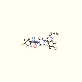 CC(=O)Nc1cc(N2CCN(C(=O)Nc3ccc(F)cc3)CC2)c2ccc(Cl)cc2n1